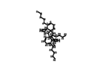 CCCCCC1=CC=CC(CCCCC)(C(C)C2(CCCCC)C=CC=C(CCCCC)C2O)C1O